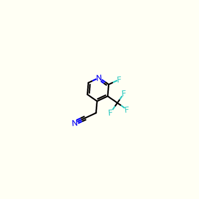 N#CCc1ccnc(F)c1C(F)(F)F